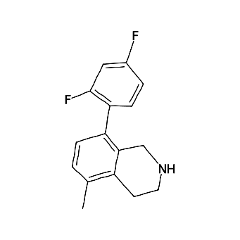 Cc1ccc(-c2ccc(F)cc2F)c2c1CCNC2